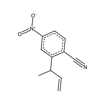 C=C[C](C)c1cc([N+](=O)[O-])ccc1C#N